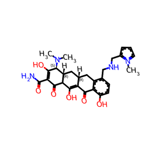 CN(C)[C@@H]1C(O)=C(C(N)=O)C(=O)C2C(O)=C3C(=O)c4c(O)ccc(CNCc5cccn5C)c4C[C@H]3C[C@H]21